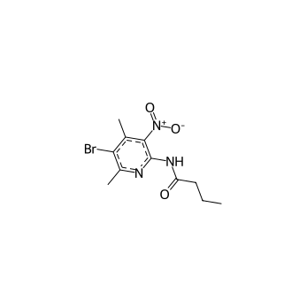 CCCC(=O)Nc1nc(C)c(Br)c(C)c1[N+](=O)[O-]